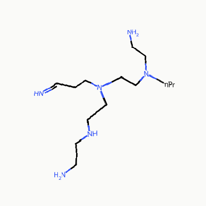 CCCN(CCN)CCN(CCC=N)CCNCCN